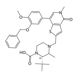 COc1ccc(-c2cn(C)c(=O)c3cc(CN4CCN(C(=O)O)[C@@H](C(C)(C)C)C4C)sc23)cc1OCc1ccccc1